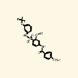 CCOc1cc(NC(=O)c2ccc(OC)cc2)ccc1S(=O)(=O)Nc1cccc(OC(C)(F)F)c1